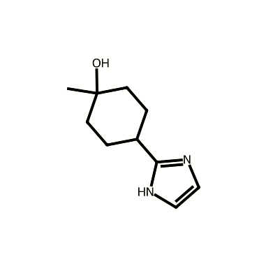 CC1(O)CCC(c2ncc[nH]2)CC1